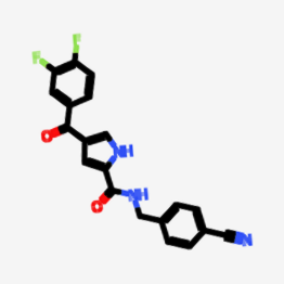 N#Cc1ccc(CNC(=O)c2cc(C(=O)c3ccc(F)c(F)c3)c[nH]2)cc1